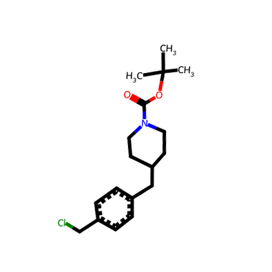 CC(C)(C)OC(=O)N1CCC(Cc2ccc(CCl)cc2)CC1